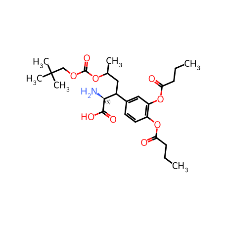 CCCC(=O)Oc1ccc(C(CC(C)OC(=O)OCC(C)(C)C)[C@H](N)C(=O)O)cc1OC(=O)CCC